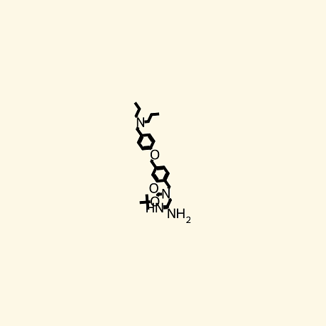 CCCN(CCC)Cc1ccc(OCc2ccc(CN(CC(=N)N)C(=O)OC(C)(C)C)cc2)cc1